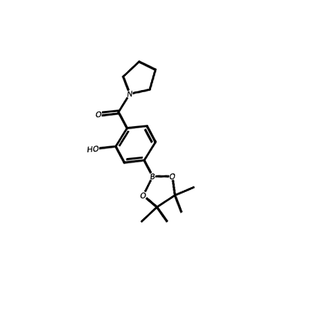 CC1(C)OB(c2ccc(C(=O)N3CCCC3)c(O)c2)OC1(C)C